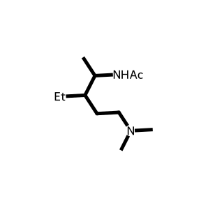 CCC(CCN(C)C)C(C)NC(C)=O